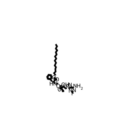 C#CC(COCN[C@@H](Cc1ccccc1)C(=O)OCCCCCCCCCCCCCCCC)(OC)[C@@H](O)Cn1cnc2c(N)nc(F)nc21